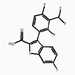 O=C(O)c1sc2cc(F)ccc2c1-c1ccc(F)c(C(F)F)c1F